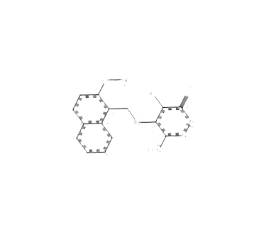 CCCOc1ccc2ccccc2c1CNc1c(N)n[nH]c(=O)c1Br